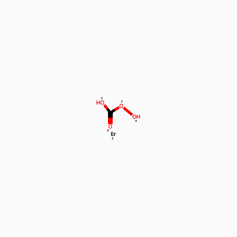 O=C(O)OO.[Er]